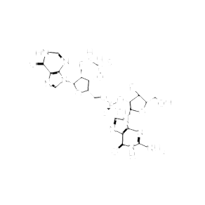 C[C@]1(F)[C@@H](CO)O[C@@H](n2cnc3c(=O)[nH]c(N)nc32)[C@@H]1OP(O)(=S)OC[C@H]1O[C@@H](n2cnc3c(=O)[nH]cnc32)[C@@H](F)[C@@H]1O[PH](=S)S